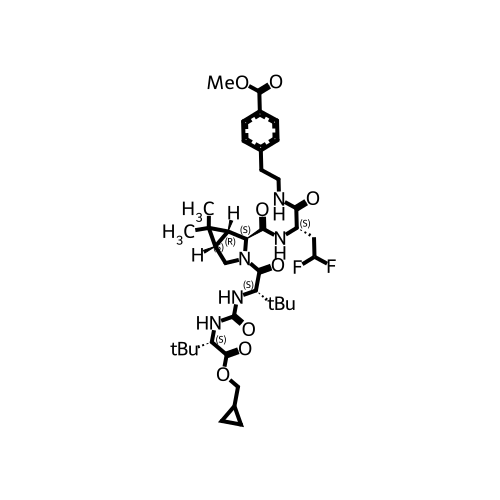 COC(=O)c1ccc(CCNC(=O)[C@H](CC(F)F)NC(=O)[C@@H]2[C@@H]3[C@H](CN2C(=O)[C@@H](NC(=O)N[C@H](C(=O)OCC2CC2)C(C)(C)C)C(C)(C)C)C3(C)C)cc1